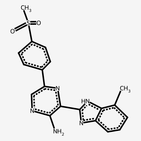 Cc1cccc2nc(-c3nc(-c4ccc(S(C)(=O)=O)cc4)cnc3N)[nH]c12